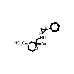 CC(C)(C)C1(CN[C@@H]2C[C@H]2c2ccccc2)CN(C(=O)O)CCO1